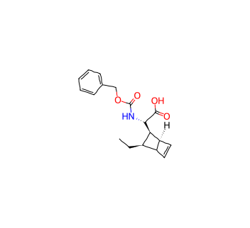 CC[C@@H]1C2C=C[C@@H]2[C@@H]1[C@H](NC(=O)OCc1ccccc1)C(=O)O